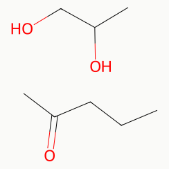 CC(O)CO.CCCC(C)=O